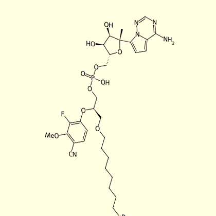 CCCCCCCCCCCCCCCCCCOC[C@H](COP(=O)(O)OC[C@H]1O[C@@](C)(c2ccc3c(N)ncnn23)[C@H](O)[C@@H]1O)Oc1ccc(C#N)c(OC)c1F